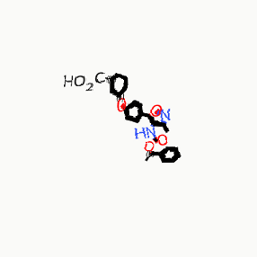 Cc1noc(-c2ccc(O[C@H]3CCC[C@@H](C(=O)O)C3)cc2)c1NC(=O)O[C@H](C)c1ccccc1